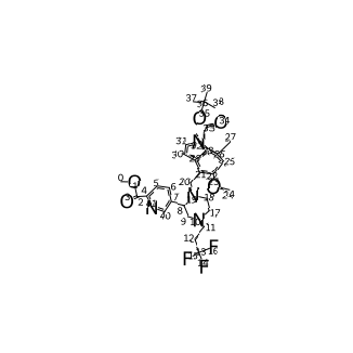 COC(=O)c1ccc(C2CN(CCC(F)(F)F)CCN2Cc2c(OC)cc(C)c3c2ccn3C(=O)OC(C)(C)C)cn1